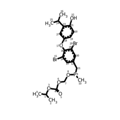 CC(C)OC(=O)OCOP(C)Cc1cc(Br)c(Oc2ccc(O)c(C(C)C)c2)c(Br)c1